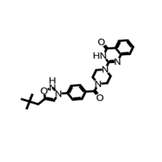 CC(C)(C)CC1=CN(c2ccc(C(=O)N3CCN(c4nc5ccccc5c(=O)[nH]4)CC3)cc2)NO1